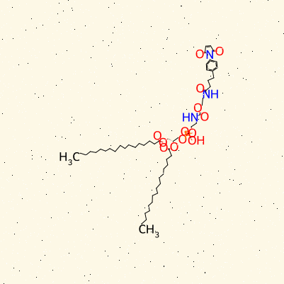 CCCCCCCCCCCCCCCCCC(=O)OC[C@H](COP(=O)(O)OCCNC(=O)OCCNC(=O)CCCc1ccc(N2C(=O)C=CC2=O)cc1)OC(=O)CCCCCCCCCCCCCCCCC